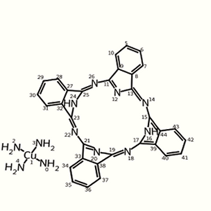 [NH2][Cu]([NH2])([NH2])[NH2].c1ccc2c(c1)-c1nc-2nc2[nH]c(nc3nc(nc4[nH]c(n1)c1ccccc41)-c1ccccc1-3)c1ccccc21